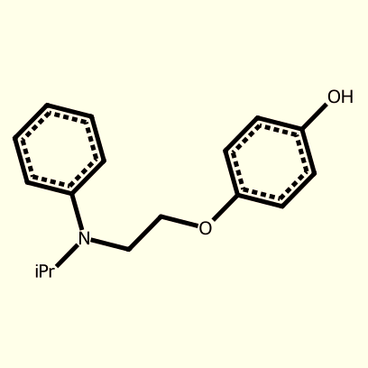 CC(C)N(CCOc1ccc(O)cc1)c1ccccc1